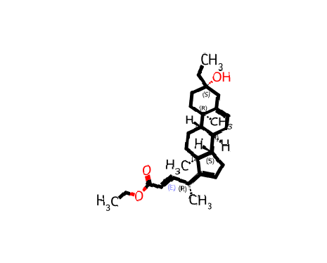 CCOC(=O)/C=C/[C@@H](C)C1=CC[C@H]2[C@@H]3CC=C4C[C@](O)(CC)CC[C@]4(C)[C@H]3CC[C@]12C